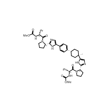 COC(=O)N[C@H](C(=O)N1CCC[C@H]1c1ncc(-c2ccc([C@H]3CC[C@](C)(c4cnc([C@@H]5CCCN5C(=O)[C@@H](NC(=O)OC)C(C)C)[nH]4)CC3)cc2)[nH]1)C(C)C